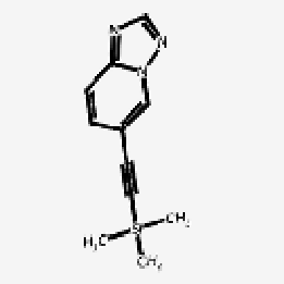 C[Si](C)(C)C#Cc1ccc2ncnn2c1